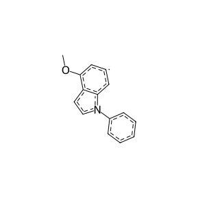 COc1c[c]cc2c1ccn2-c1ccccc1